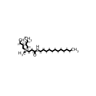 CCCCCCCCCCCCNC(=O)CC[N+](C)(CCCC)CCCC